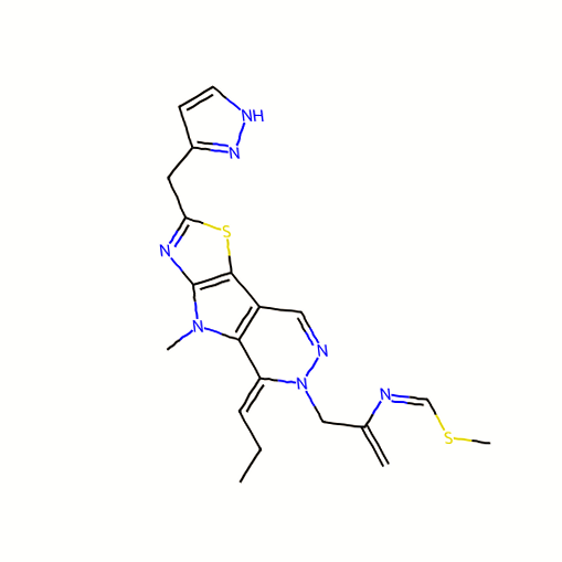 C=C(CN1N=Cc2c(n(C)c3nc(Cc4cc[nH]n4)sc23)/C1=C/CC)/N=C\SC